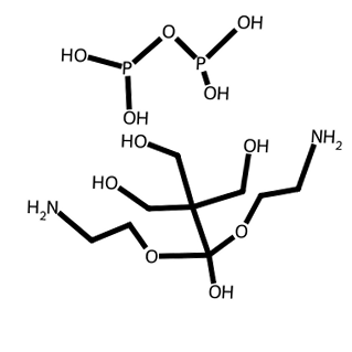 NCCOC(O)(OCCN)C(CO)(CO)CO.OP(O)OP(O)O